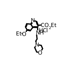 CCOC(=O)c1cnc2ccc(OCC)cc2c1NCCCN1CCOCC1.Cl